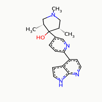 C[C@@H]1CN(C)C[C@H](C)C1(O)c1ccc(-c2ccnc3[nH]ccc23)nc1